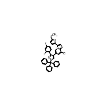 CSc1ccc(-c2cnc3c(Cl)cc(-c4cn(C(c5ccccc5)(c5ccccc5)c5ccccc5)nc4-c4ccc(F)cc4F)cn23)s1